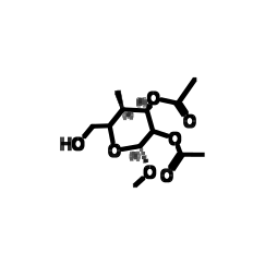 CO[C@@H]1OC(CO)[C@@H](C)[C@@H](OC(C)=O)C1OC(C)=O